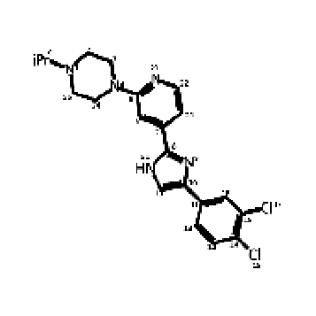 CC(C)N1CCN(c2cc(-c3nc(-c4ccc(Cl)c(Cl)c4)c[nH]3)ccn2)CC1